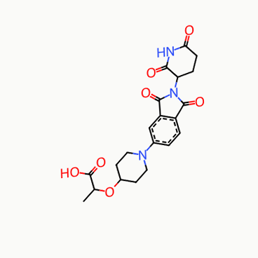 CC(OC1CCN(c2ccc3c(c2)C(=O)N(C2CCC(=O)NC2=O)C3=O)CC1)C(=O)O